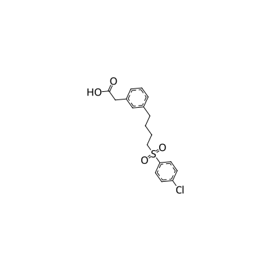 O=C(O)Cc1cccc(CCCCS(=O)(=O)c2ccc(Cl)cc2)c1